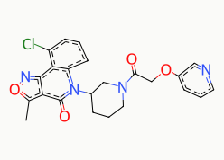 Cc1onc2c1c(=O)n(C1CCCN(C(=O)COc3cccnc3)C1)c1cccc(Cl)c21